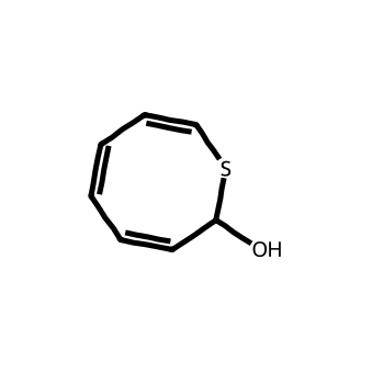 OC1C=CC=CC=CS1